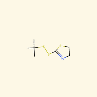 CC(C)(C)SSC1=NCCS1